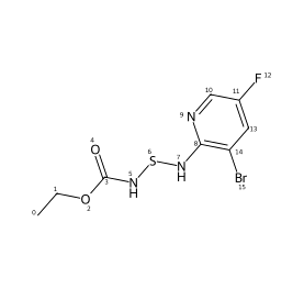 CCOC(=O)NSNc1ncc(F)cc1Br